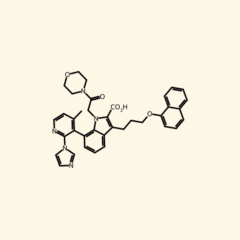 Cc1ccnc(-n2ccnc2)c1-c1cccc2c(CCCOc3cccc4ccccc34)c(C(=O)O)n(CC(=O)N3CCOCC3)c12